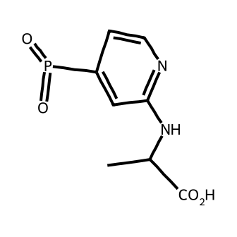 CC(Nc1cc(P(=O)=O)ccn1)C(=O)O